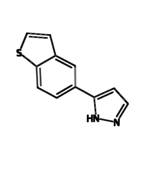 c1cc(-c2ccc3sccc3c2)[nH]n1